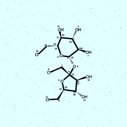 O[C@@H]1[C@@H](O)[C@H](O[C@@]2(CCl)O[C@H](CCl)[C@@H](O)[C@@H]2O)O[C@H](CCl)[C@H]1O